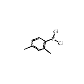 Cc1ccc(P(Cl)Cl)c(C)c1